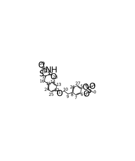 CS(=O)(=O)Oc1ccc(CCOc2ccc(CC3SC(=O)NC3=O)cc2)cc1